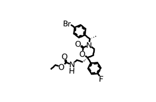 CCOC(=O)NCC[C@@]1(c2ccc(F)cc2)CCN([C@@H](C)c2ccc(Br)cc2)C(=O)O1